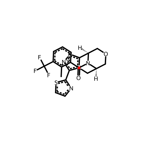 Cc1c(C(=O)N2[C@H]3COC[C@@H]2c2nnc(-c4nccs4)n2C3)cccc1C(F)(F)F